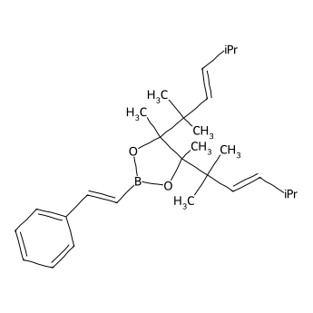 CC(C)C=CC(C)(C)C1(C)OB(C=Cc2ccccc2)OC1(C)C(C)(C)C=CC(C)C